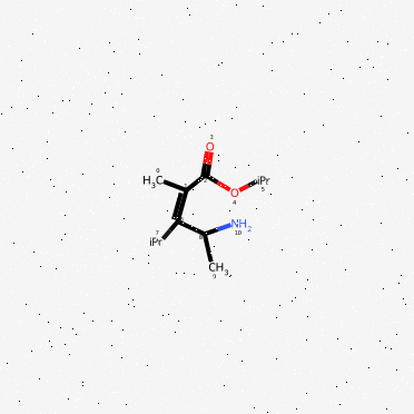 CC(C(=O)OC(C)C)=C(C(C)C)C(C)N